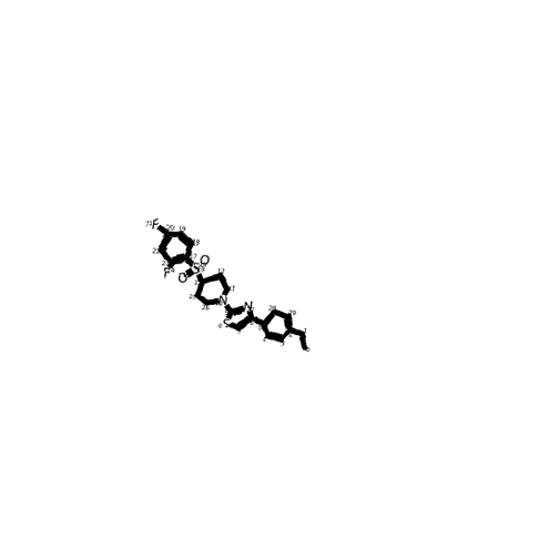 CCc1ccc(-c2csc(N3CCC(S(=O)(=O)c4ccc(F)cc4F)CC3)n2)cc1